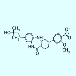 COc1cc(C2=CC3=C(CC2)C(=O)Nc2cc(CCC(C)(C)O)ccc2N3)ccc1[N+](=O)[O-]